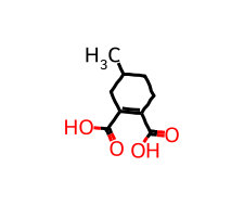 CC1CCC(C(=O)O)=C(C(=O)O)C1